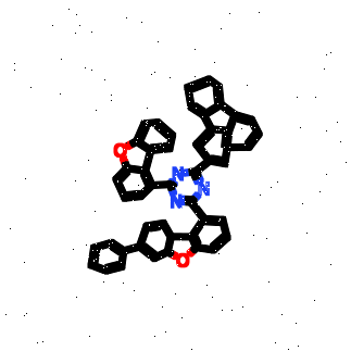 C1=CC2c3c(cccc3-c3nc(-c4cc5c6c(cccc6c4)-c4ccccc4-5)nc(-c4cccc5oc6ccccc6c45)n3)OC2C=C1c1ccccc1